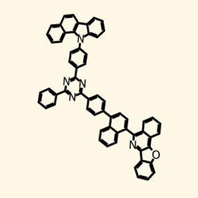 c1ccc(-c2nc(-c3ccc(-c4ccc(-c5nc6c7ccccc7oc6c6ccccc56)c5ccccc45)cc3)nc(-c3ccc(-n4c5ccccc5c5ccc6ccccc6c54)cc3)n2)cc1